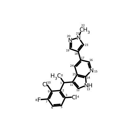 CC(c1c(Cl)ccc(F)c1Cl)c1c[nH]c2ncc(-c3cnn(C)c3)cc12